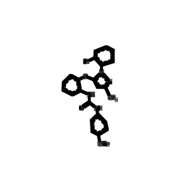 CCc1ccccc1-n1nc(C)cc1Oc1ccccc1NC(=O)Nc1ccc(OC)cc1